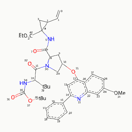 C=CC1CC1(NC(=O)C1CC(Oc2cc(-c3ccccc3)nc3cc(OC)ccc23)CN1C(=O)C(NC(=O)OC(C)(C)C)C(C)(C)C)C(=O)OCC